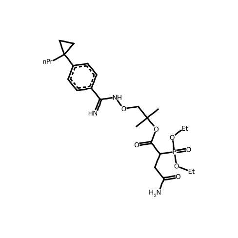 CCCC1(c2ccc(C(=N)NOCC(C)(C)OC(=O)C(CC(N)=O)P(=O)(OCC)OCC)cc2)CC1